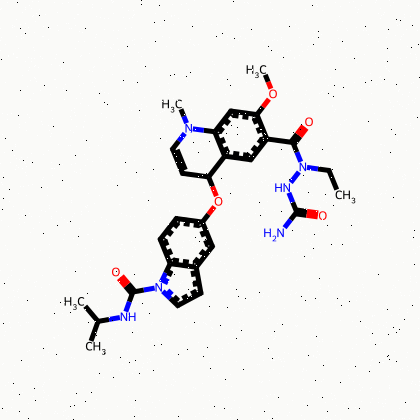 CCN(NC(N)=O)C(=O)c1cc2c(cc1OC)N(C)C=CC2Oc1ccc2c(ccn2C(=O)NC(C)C)c1